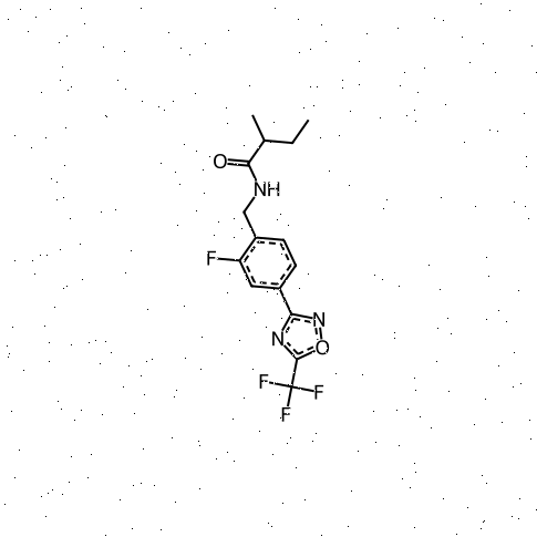 CCC(C)C(=O)NCc1ccc(-c2noc(C(F)(F)F)n2)cc1F